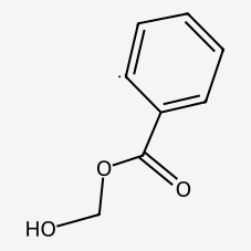 O=C(OCO)c1[c]cccc1